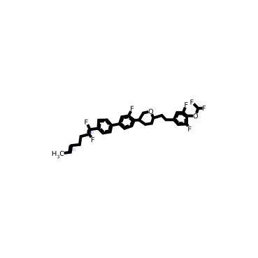 C/C=C/CC/C(F)=C(\F)c1ccc(-c2ccc(C3CCC(CCc4cc(F)c(OC(F)F)c(F)c4)OC3)c(F)c2)cc1